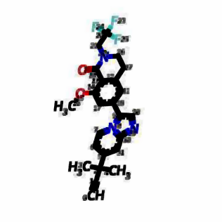 C#CC(C)(C)c1ccn2c(-c3cc4c(c(OC)c3)C(=O)N(CC(F)(F)F)CC4)cnc2c1